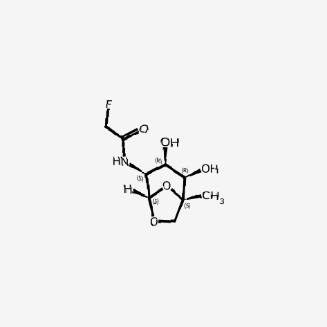 C[C@@]12CO[C@@H](O1)[C@@H](NC(=O)CF)[C@@H](O)[C@H]2O